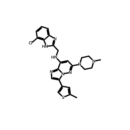 Cc1cc(-c2cnc3c(NCc4nc5cccc(Cl)c5[nH]4)cc(N4CCN(C)CC4)nn23)cs1